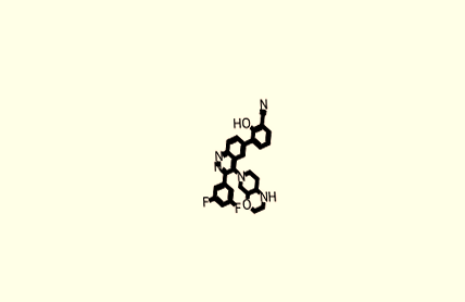 N#Cc1cccc(-c2ccc3nnc(-c4cc(F)cc(F)c4)c(N4CCC5NCCOC5C4)c3c2)c1O